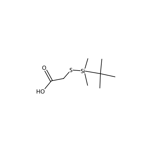 CC(C)(C)[Si](C)(C)SCC(=O)O